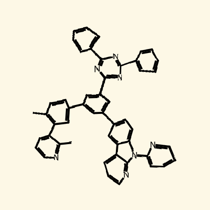 Cc1ccc(-c2cc(-c3ccc4c(c3)c3cccnc3n4-c3ccccn3)cc(-c3nc(-c4ccccc4)nc(-c4ccccc4)n3)c2)cc1-c1cccnc1C